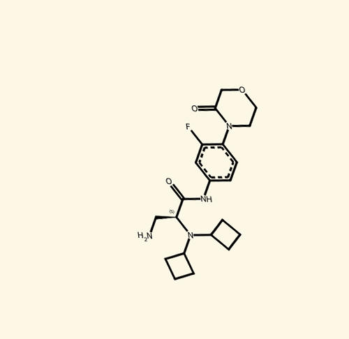 NC[C@@H](C(=O)Nc1ccc(N2CCOCC2=O)c(F)c1)N(C1CCC1)C1CCC1